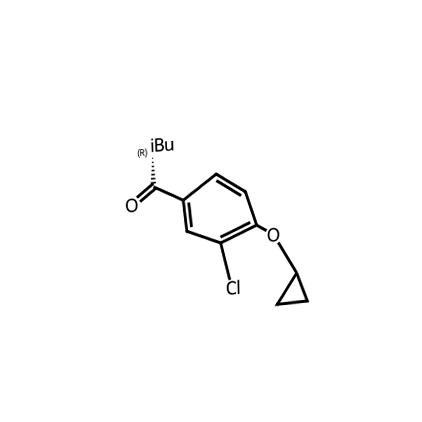 CC[C@@H](C)C(=O)c1ccc(OC2CC2)c(Cl)c1